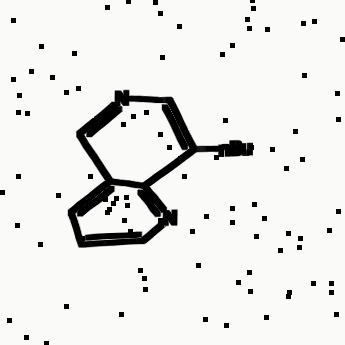 CCCCc1cncc2cccnc12